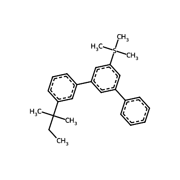 CCC(C)(C)c1cccc(-c2cc(-c3ccccc3)cc(S(C)(C)C)c2)c1